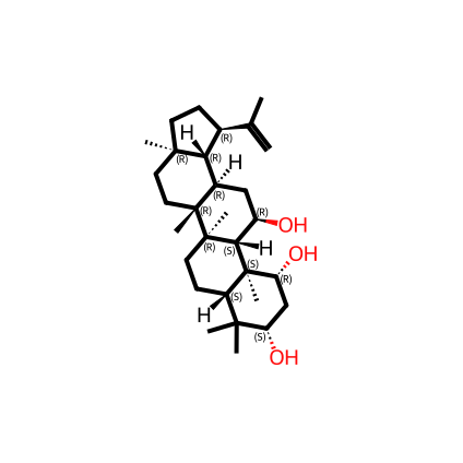 C=C(C)[C@@H]1CC[C@]2(C)CC[C@]3(C)[C@H](C[C@@H](O)[C@@H]4[C@@]5(C)[C@H](O)C[C@H](O)C(C)(C)[C@@H]5CC[C@]43C)[C@@H]12